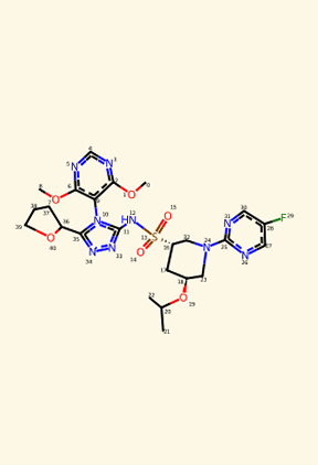 COc1ncnc(OC)c1-n1c(NS(=O)(=O)[C@H]2C[C@H](OC(C)C)CN(c3ncc(F)cn3)C2)nnc1C1CCCO1